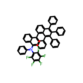 Fc1c(F)c(F)c(N(c2ccccc2)c2ccc(-c3cccc4c(-c5ccccc5)c(-c5ccccc5)c(-c5ccccc5)c(-c5ccccc5)c34)c3ccccc23)c(F)c1F